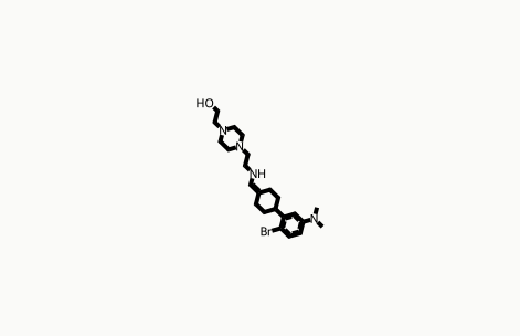 CN(C)c1ccc(Br)c(C2CCC(=CNCCN3CCN(CCO)CC3)CC2)c1